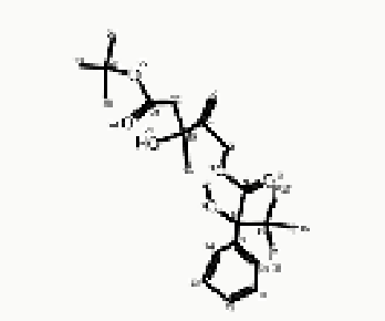 C=C(COC(=O)C(OC)(c1ccccc1)C(F)(F)F)C(C)(O)CC(=O)OC(C)(C)C